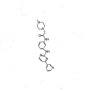 CN1CCN(CC(=O)Nc2cccc(Nc3nccc(-c4cccnc4)n3)c2)CC1